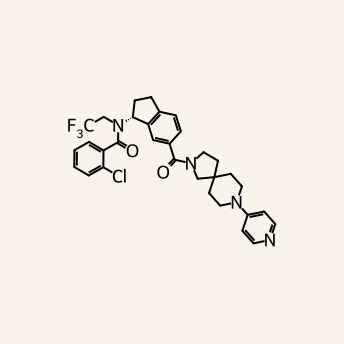 O=C(c1ccc2c(c1)[C@H](N(CC(F)(F)F)C(=O)c1ccccc1Cl)CC2)N1CCC2(CCN(c3ccncc3)CC2)C1